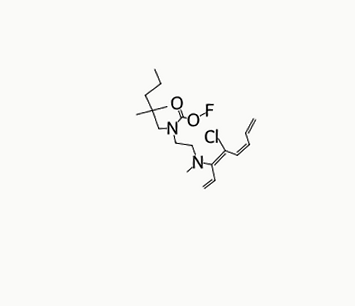 C=C/C=C\C(Cl)=C(/C=C)N(C)CCN(CC(C)(C)CCC)C(=O)OF